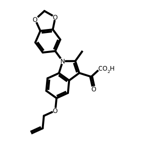 C=CCOc1ccc2c(c1)c(C(=O)C(=O)O)c(C)n2-c1ccc2c(c1)OCO2